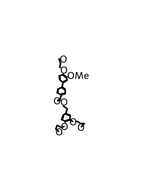 COc1cc(-c2ccc(C(=O)OCCc3ccc(OC4CCO4)c(OCC4CO4)c3)cc2)ccc1OCC1CO1